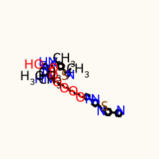 Cc1ncsc1-c1ccc([C@H](C)NC(=O)[C@@H]2C[C@@H](O)CN2C(=O)[C@@H](NC(=O)COCCOCCOCCOC2CCN(c3ccc(-c4nc5ccc(-c6cccnc6)cc5s4)cn3)C2)C(C)(C)C)cc1